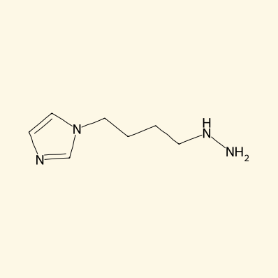 NNCCCCn1ccnc1